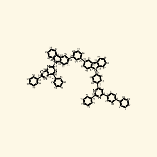 c1ccc(-c2ccc(-c3cc(-c4ccc(-n5c6ccccc6c6cc(-c7cccc(-c8ccc9c(c8)c8ccccc8n9-c8nc(-c9ccccc9)c9nc(-c%10ccccc%10)oc9n8)c7)ccc65)cc4)nc(-c4ccccc4)n3)cc2)cc1